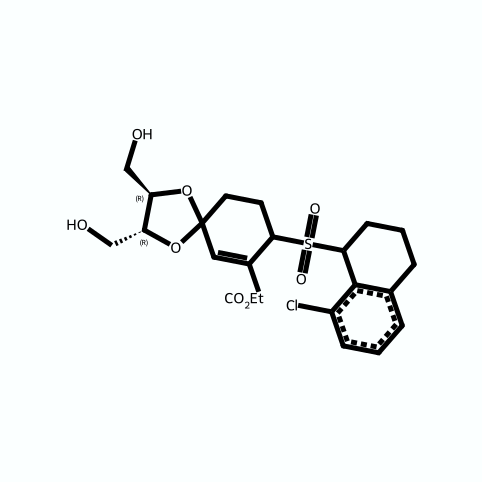 CCOC(=O)C1=CC2(CCC1S(=O)(=O)C1CCCc3cccc(Cl)c31)O[C@H](CO)[C@@H](CO)O2